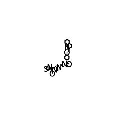 O=C(c1ccc(OCc2ccc3ccccc3n2)cc1)N1CC(N2CCN(C(=O)c3cscn3)CC2)C1